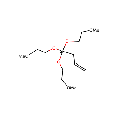 C=CC[Si](OCCOC)(OCCOC)OCCOC